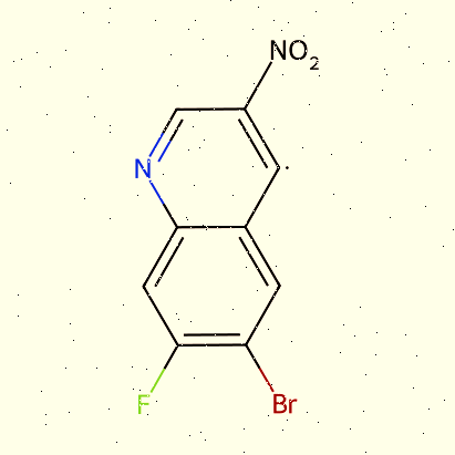 O=[N+]([O-])c1[c]c2cc(Br)c(F)cc2nc1